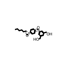 CCCCC[CH2][Co](=[O])[c]1cc[c]([Co](=[O])[c]2cc(CO)cc(CO)c2)cc1